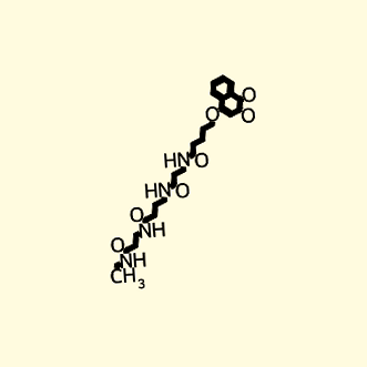 CCNC(=O)CCNC(=O)CCCNC(=O)CCNC(=O)CCCCOC1=CC(=O)C(=O)c2ccccc21